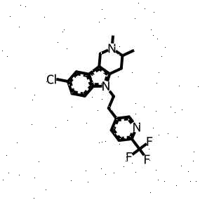 CC1Cc2c(c3cc(Cl)ccc3n2CCc2ccc(C(F)(F)F)nc2)CN1C